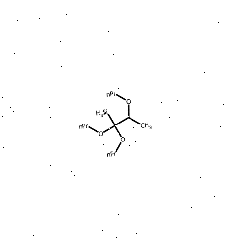 CCCOC(C)C([SiH3])(OCCC)OCCC